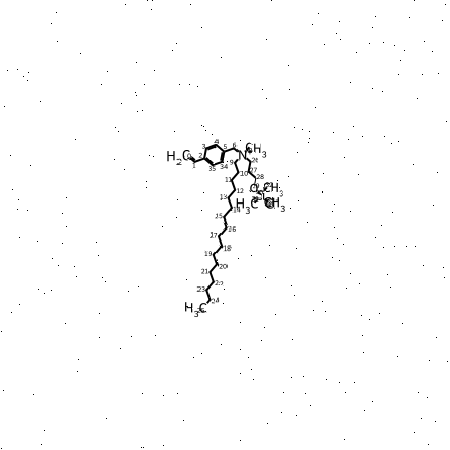 C=Cc1ccc(C[N+](C)(CCCCCCCCCCCCCCCCC)CCCO[Si](C)(C)C)cc1.[Cl-]